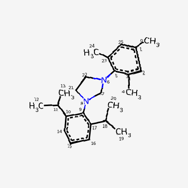 Cc1cc(C)c(N2[C]N(c3c(C(C)C)cccc3C(C)C)CC2)c(C)c1